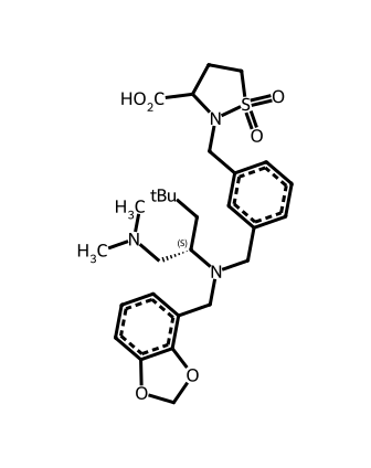 CN(C)C[C@H](CC(C)(C)C)N(Cc1cccc(CN2C(C(=O)O)CCS2(=O)=O)c1)Cc1cccc2c1OCO2